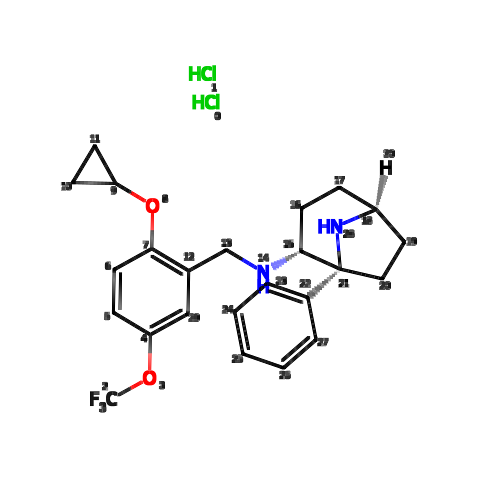 Cl.Cl.FC(F)(F)Oc1ccc(OC2CC2)c(CN[C@@H]2CC[C@H]3CC[C@]2(c2ccccc2)N3)c1